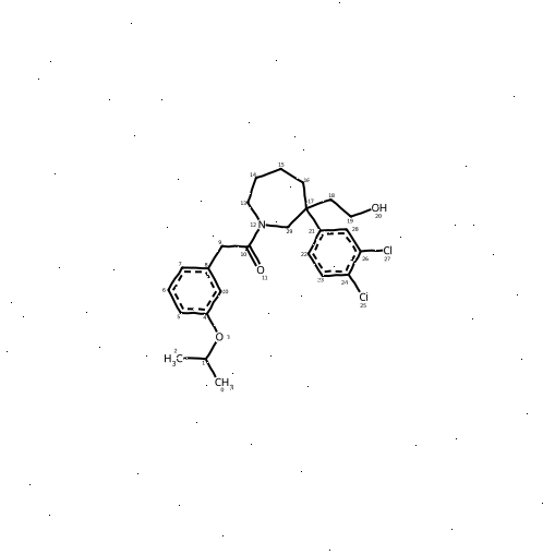 CC(C)Oc1cccc(CC(=O)N2CCCCC(CCO)(c3ccc(Cl)c(Cl)c3)C2)c1